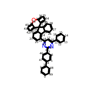 c1ccc(-c2ccc(-c3nc(-c4ccccc4)cc(-c4cccc5c4-c4ccccc4C54c5ccccc5Oc5ccccc54)n3)cc2)cc1